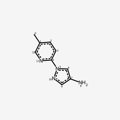 Cc1ccc(-n2cc(N)cn2)nc1